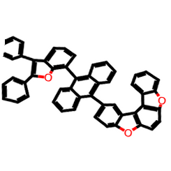 c1ccc(-c2oc3c(-c4c5ccccc5c(-c5ccc6oc7ccc8oc9ccccc9c8c7c6c5)c5ccccc45)cccc3c2-c2ccccc2)cc1